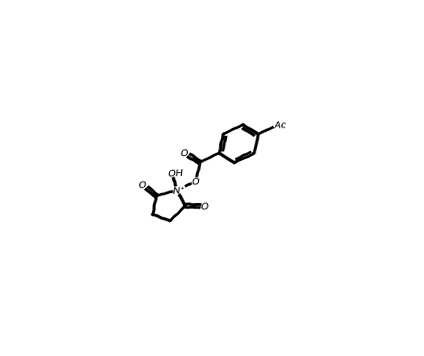 CC(=O)c1ccc(C(=O)O[N+]2(O)C(=O)CCC2=O)cc1